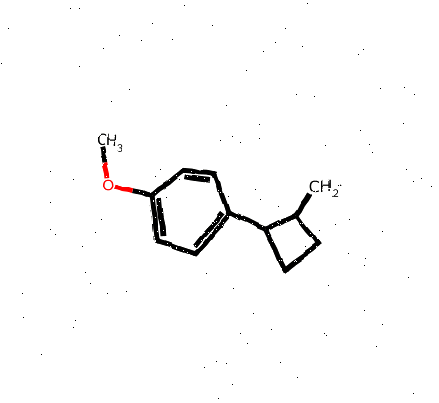 [CH2]C1CCC1c1ccc(OC)cc1